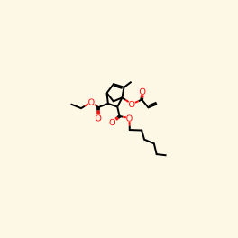 C=CC(=O)OC12CC(C=C1C)C(C(=O)OCC)C2C(=O)OCCCCCC